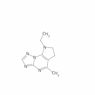 CCN1CCc2c(C)nc3ncnn3c21